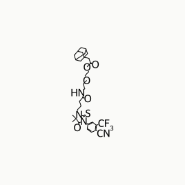 CC1(C)C(=O)N(c2ccc(C#N)c(C(F)(F)F)c2)C(=S)N1CCCC(=O)NCCOCCOC(=O)CC12CC3CC(CC(C3)C1)C2